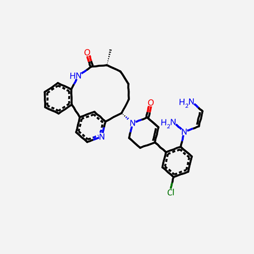 C[C@@H]1CCC[C@H](N2CCC(c3cc(Cl)ccc3N(N)/C=C\N)=CC2=O)c2cc(ccn2)-c2ccccc2NC1=O